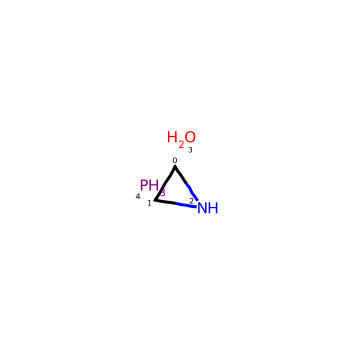 C1CN1.O.P